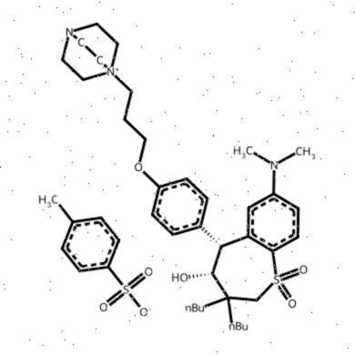 CCCCC1(CCCC)CS(=O)(=O)c2ccc(N(C)C)cc2[C@@H](c2ccc(OCCC[N+]34CCN(CC3)CC4)cc2)[C@H]1O.Cc1ccc(S(=O)(=O)[O-])cc1